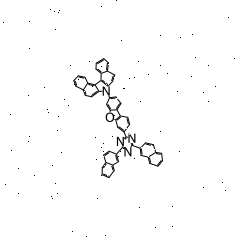 c1ccc2cc(-c3nc(-c4ccc5ccccc5c4)nc(-c4ccc5c(c4)oc4cc(-n6c7ccc8ccccc8c7c7c8ccccc8ccc76)ccc45)n3)ccc2c1